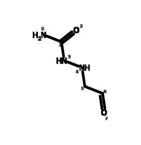 NC(=O)NNCC=O